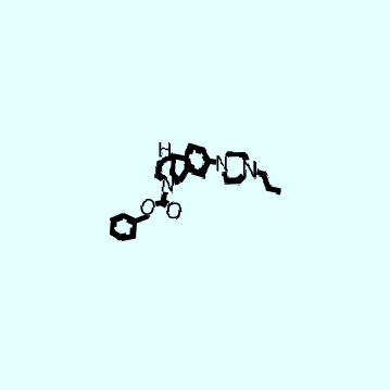 CCCN1CCN(c2ccc3c(c2)C2C[C@@H]3CCN2C(=O)OCc2ccccc2)CC1